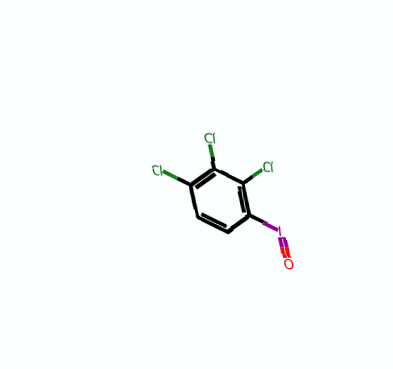 O=Ic1ccc(Cl)c(Cl)c1Cl